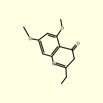 CCC1=Nc2cc(OC)cc(OC)c2C(=O)C1